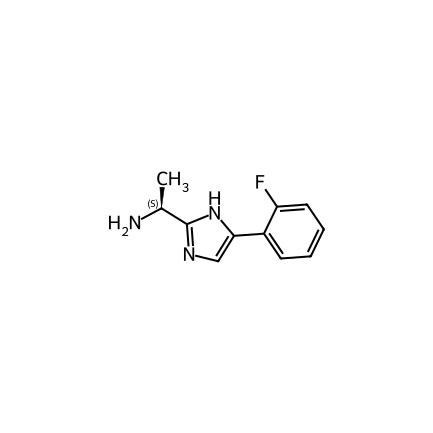 C[C@H](N)c1ncc(-c2ccccc2F)[nH]1